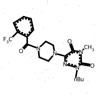 CCCCn1nc(N2CCN(C(=O)c3ccccc3C(F)(F)F)CC2)c(=O)n(C)c1=O